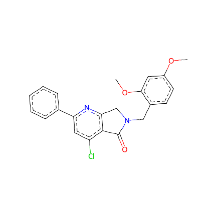 COc1ccc(CN2Cc3nc(-c4ccccc4)cc(Cl)c3C2=O)c(OC)c1